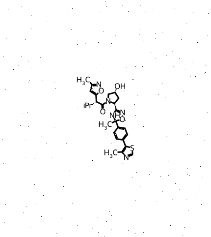 Cc1cc([C@H](C(=O)N2C[C@H](O)C[C@H]2C2=NOC(C)(c3ccc(-c4scnc4C)cc3)N2)C(C)C)on1